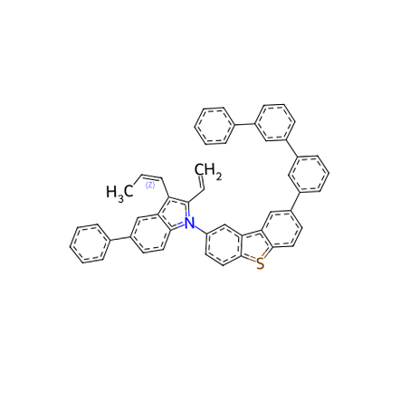 C=Cc1c(/C=C\C)c2cc(-c3ccccc3)ccc2n1-c1ccc2sc3ccc(-c4cccc(-c5cccc(-c6ccccc6)c5)c4)cc3c2c1